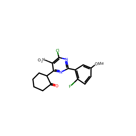 COc1ccc(F)c(-c2nc(Cl)c([N+](=O)[O-])c(C3CCCCC3=O)n2)c1